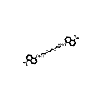 CN(C)c1cccc2c(ONCCOCCOCCNOc3cccc4c(N(C)C)cccc34)cccc12